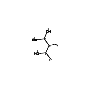 [CH2]C(O)C(C)C(O)C(C)(C)C